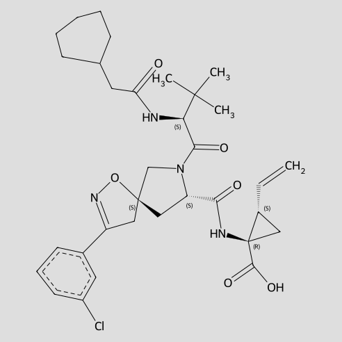 C=C[C@@H]1C[C@]1(NC(=O)[C@@H]1C[C@]2(CC(c3cccc(Cl)c3)=NO2)CN1C(=O)[C@@H](NC(=O)CC1CCCCC1)C(C)(C)C)C(=O)O